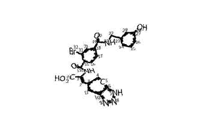 O=C(O)C(=Cc1ccc2[nH]nnc2c1)NC(=O)c1ccc(C(=O)NCc2cccc(O)c2)cc1Br